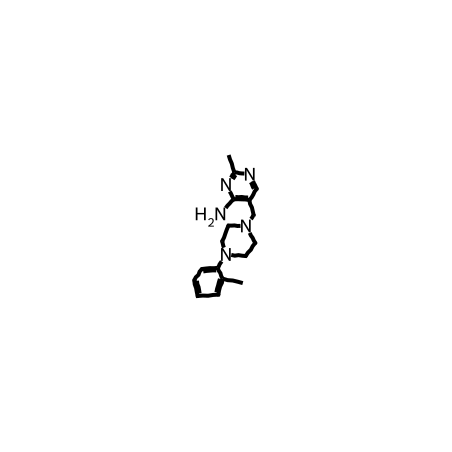 Cc1ncc(CN2CCN(c3ccccc3C)CC2)c(N)n1